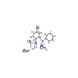 C=[N+]=C(c1ccccc1)c1cc(Br)ccc1NC(=O)C[C@@H](C)CC